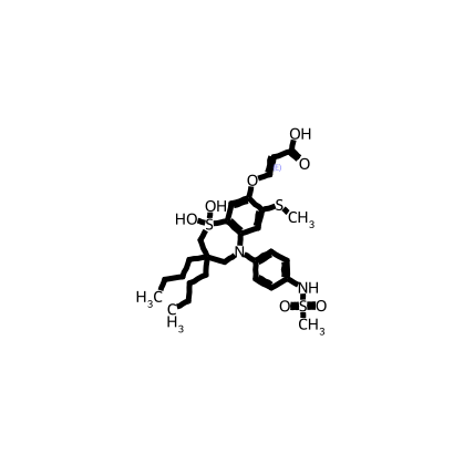 CCCCC1(CCCC)CN(c2ccc(NS(C)(=O)=O)cc2)c2cc(SC)c(O/C=C/C(=O)O)cc2S(O)(O)C1